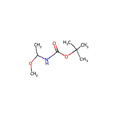 COC(C)NC(=O)OC(C)(C)C